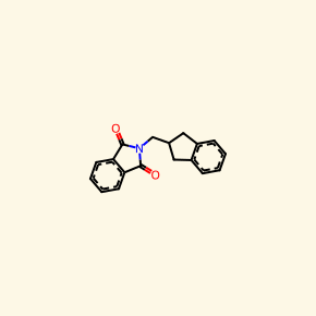 O=C1c2ccccc2C(=O)N1CC1Cc2ccccc2C1